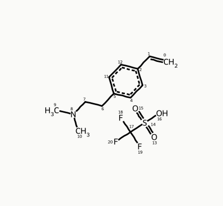 C=Cc1ccc(CCN(C)C)cc1.O=S(=O)(O)C(F)(F)F